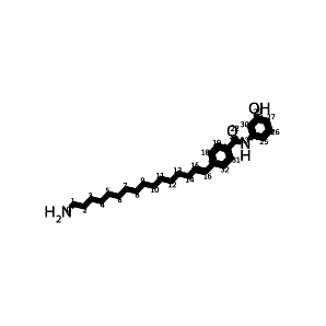 NCCCCCCCCCCCCCCC=Cc1ccc(C(=O)Nc2cccc(O)c2)cc1